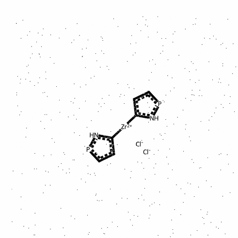 [Cl-].[Cl-].c1c[c]([Zr+2][c]2ccp[nH]2)[nH]p1